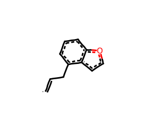 [CH]=CCc1cccc2occc12